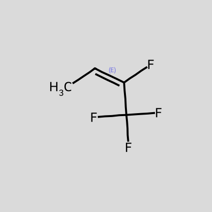 C/C=C(/F)C(F)(F)F